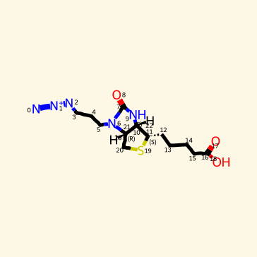 [N-]=[N+]=NCCCN1C(=O)N[C@@H]2[C@H](CCCCC(=O)O)SC[C@@H]21